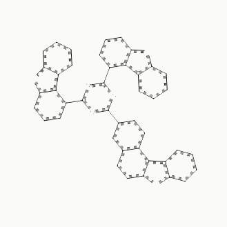 c1ccc2c(c1)oc1cccc(-c3nc(-c4ccc5c(ccc6oc7ccccc7c65)c4)nc(-c4cccc5sc6ccccc6c45)n3)c12